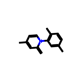 C=C1C=C(C)C=CN1c1cc(C)ccc1C